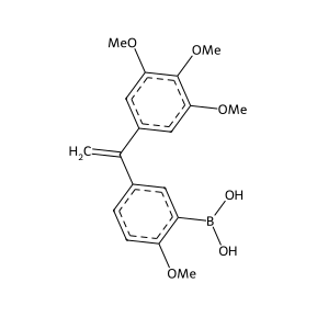 C=C(c1cc(OC)c(OC)c(OC)c1)c1ccc(OC)c(B(O)O)c1